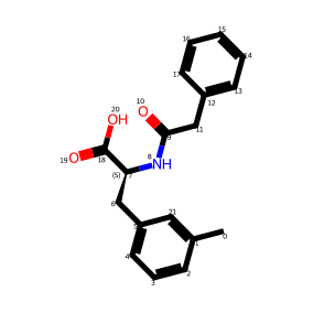 Cc1cccc(C[C@H](NC(=O)Cc2ccccc2)C(=O)O)c1